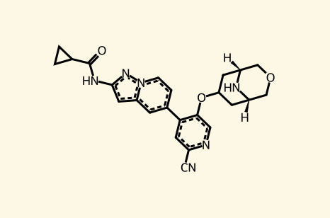 N#Cc1cc(-c2ccn3nc(NC(=O)C4CC4)cc3c2)c(OC2C[C@H]3COC[C@@H](C2)N3)cn1